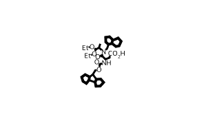 CCOC(OCC)C(C)N(Cc1cccc2ccccc12)C(=O)C(CC(=O)O)NC(=O)OCC1c2ccccc2-c2ccccc21